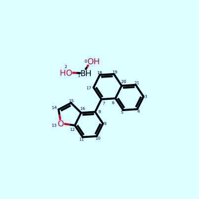 OBO.c1ccc2c(-c3cccc4occc34)cccc2c1